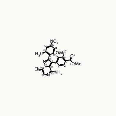 COC(=O)c1ccc(-c2c(-c3ccc([N+](=O)[O-])cc3C)nn3c(Cl)cnc(N)c23)cc1OC